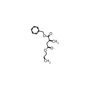 C=CCOC(=O)CC(=C)C(=O)OCc1ccccc1